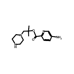 CC(C)(CN1CCNCC1)OC(=O)c1ccc(N)cn1